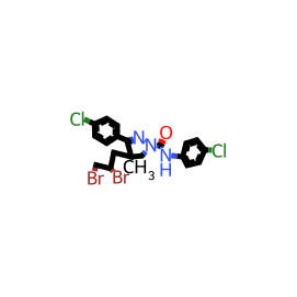 CC1(CC(Br)CBr)CN(C(=O)Nc2ccc(Cl)cc2)N=C1c1ccc(Cl)cc1